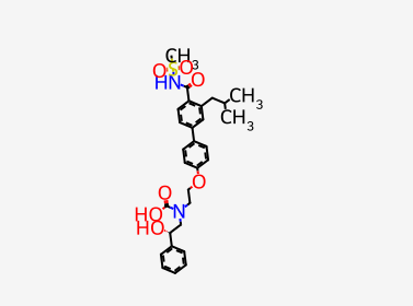 CC(C)Cc1cc(-c2ccc(OCCN(C[C@@H](O)c3ccccc3)C(=O)O)cc2)ccc1C(=O)NS(C)(=O)=O